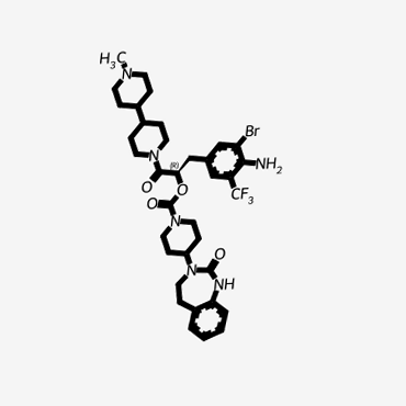 CN1CCC(C2CCN(C(=O)[C@@H](Cc3cc(Br)c(N)c(C(F)(F)F)c3)OC(=O)N3CCC(N4CCc5ccccc5NC4=O)CC3)CC2)CC1